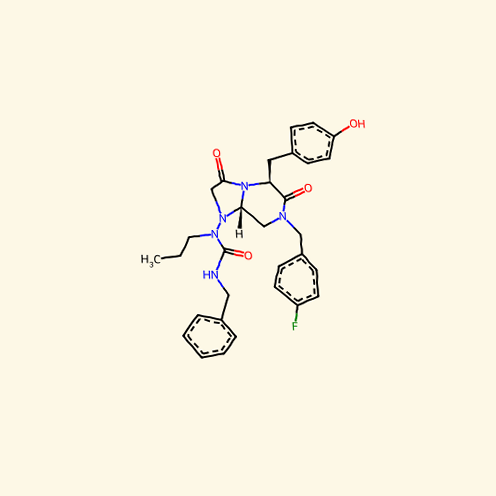 CCCN(C(=O)NCc1ccccc1)N1CC(=O)N2[C@@H](Cc3ccc(O)cc3)C(=O)N(Cc3ccc(F)cc3)C[C@@H]21